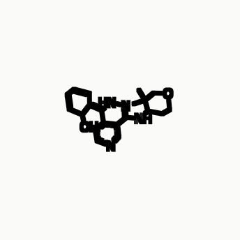 CC1(C)COCCC1NC1=NNC(=C2C=CC=CC2O)c2ccncc21